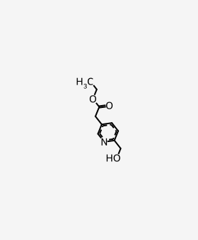 CCOC(=O)Cc1ccc(CO)nc1